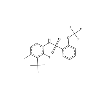 Cc1ccc(NS(=O)(=O)c2ccccc2OC(F)(F)F)c(F)c1C(C)(C)C